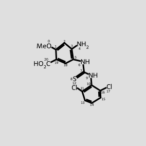 COc1cc(N)c(NC(=S)Nc2c(Cl)cccc2Cl)cc1C(=O)O